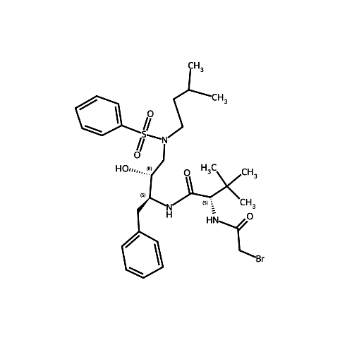 CC(C)CCN(C[C@@H](O)[C@H](Cc1ccccc1)NC(=O)[C@@H](NC(=O)CBr)C(C)(C)C)S(=O)(=O)c1ccccc1